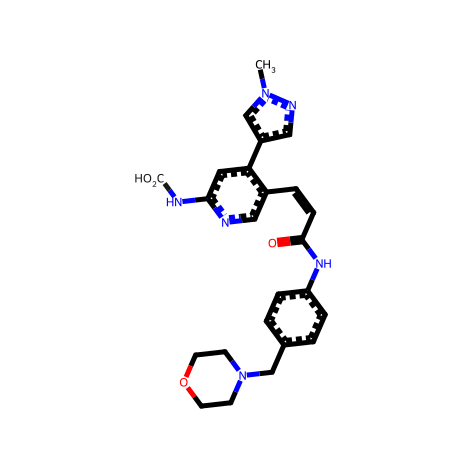 Cn1cc(-c2cc(NC(=O)O)ncc2/C=C\C(=O)Nc2ccc(CN3CCOCC3)cc2)cn1